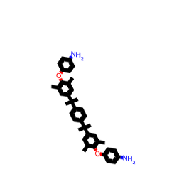 Cc1cc(C(C)(C)c2ccc(C(C)(C)c3cc(C)c(Oc4ccc(N)cc4)c(C)c3)cc2)cc(C)c1Oc1ccc(N)cc1